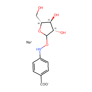 O=C([O-])c1ccc(NOC2O[C@H](CO)[C@@H](O)[C@@H]2O)cc1.[Na+]